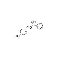 OC1CCC(COC(O)c2ccccc2)OC1